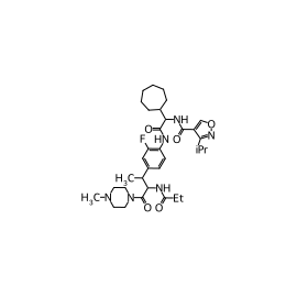 CCC(=O)NC(C(=O)N1CCN(C)CC1)C(C)c1ccc(NC(=O)C(NC(=O)c2conc2C(C)C)C2CCCCCC2)c(F)c1